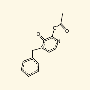 CC(=O)Oc1nccn(Cc2ccccc2)c1=O